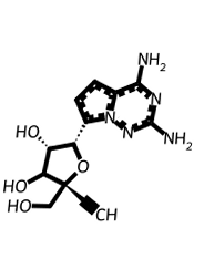 C#C[C@]1(CO)O[C@@H](c2ccc3c(N)nc(N)nn23)[C@@H](O)C1O